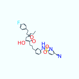 CCC[C@]1(CCc2ccc(F)cc2)CC(O)=C(CCCc2cccc(NS(=O)(=O)c3ccc(C#N)cn3)c2)C(=O)O1